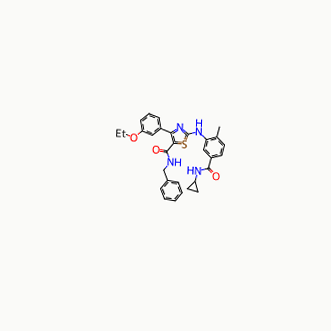 CCOc1cccc(-c2nc(Nc3cc(C(=O)NC4CC4)ccc3C)sc2C(=O)NCc2ccccc2)c1